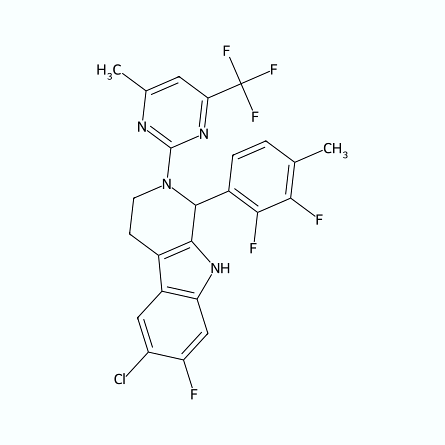 Cc1cc(C(F)(F)F)nc(N2CCc3c([nH]c4cc(F)c(Cl)cc34)C2c2ccc(C)c(F)c2F)n1